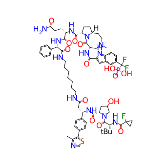 Cc1ncsc1-c1ccc([C@H](CC(=O)NCCCCCCCNC(=O)[C@@H](NC(=O)[C@H](CCC(N)=O)NC(=O)[C@@H]2CC[C@@H]3CCN(C)C[C@H](NC(=O)c4cc5cc(C(F)(F)P(=O)(O)O)ccc5[nH]4)C(=O)N32)c2ccccc2)NC(=O)[C@@H]2C[C@@H](O)CN2C(=O)[C@@H](NC(=O)C2(F)CC2)C(C)(C)C)cc1